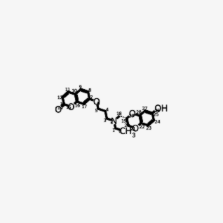 CCN(CCCOc1ccc2ccc(=O)oc2c1)C[C@H]1COc2ccc(O)cc2O1